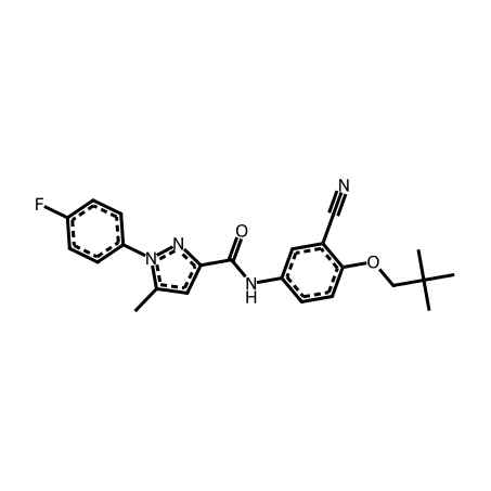 Cc1cc(C(=O)Nc2ccc(OCC(C)(C)C)c(C#N)c2)nn1-c1ccc(F)cc1